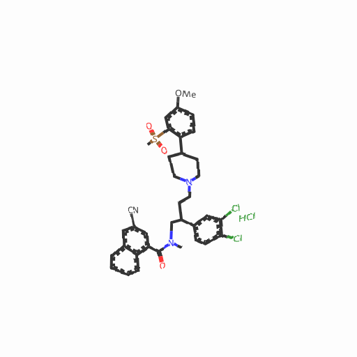 COc1ccc(C2CCN(CCC(CN(C)C(=O)c3cc(C#N)cc4ccccc34)c3ccc(Cl)c(Cl)c3)CC2)c(S(C)(=O)=O)c1.Cl